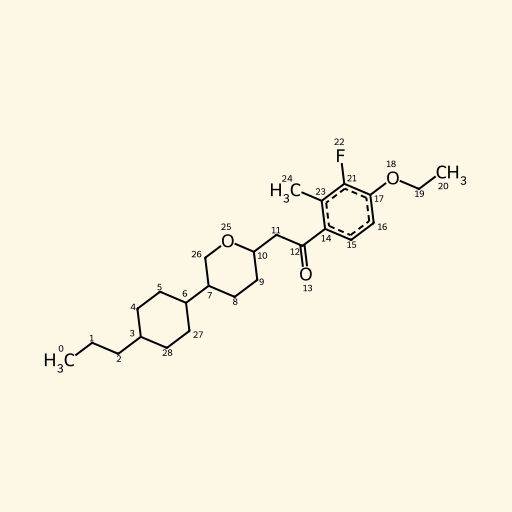 CCCC1CCC(C2CCC(CC(=O)c3ccc(OCC)c(F)c3C)OC2)CC1